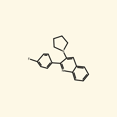 Fc1ccc(-c2nc3ccccc3cc2N2CCCC2)cc1